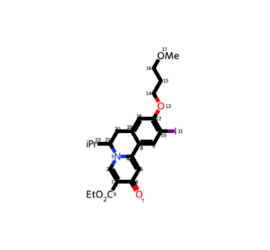 CCOC(=O)c1cn2c(cc1=O)-c1cc(I)c(OCCCOC)cc1CC2C(C)C